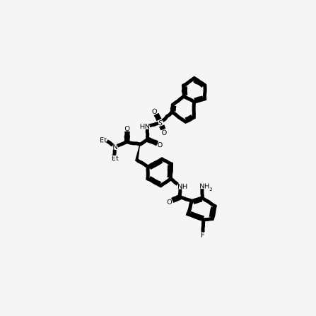 CCN(CC)C(=O)[C@H](Cc1ccc(NC(=O)c2cc(F)ccc2N)cc1)C(=O)NS(=O)(=O)c1ccc2ccccc2c1